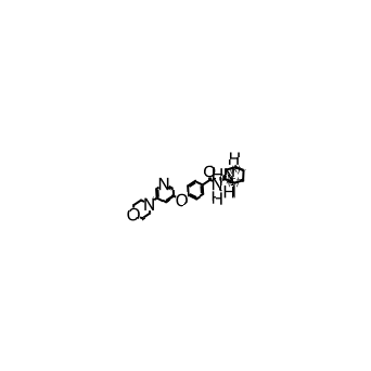 O=C(N[C@@H]1C[C@H]2CC[C@@H]1N2)c1ccc(Oc2cncc(N3CCOCC3)c2)cc1